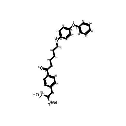 COC(Cc1ccc(C(=O)CCCCCOc2ccc(Oc3ccccc3)cc2)cc1)C(=O)O